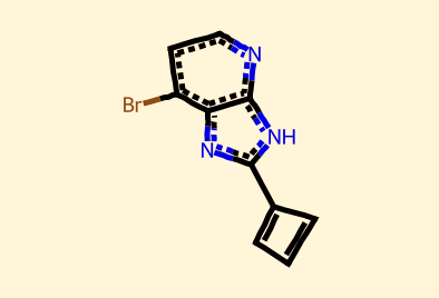 Brc1ccnc2[nH]c(C3=CC=C3)nc12